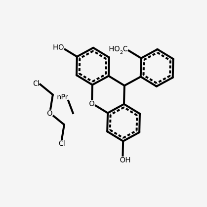 CCCC.ClCOCCl.O=C(O)c1ccccc1C1c2ccc(O)cc2Oc2cc(O)ccc21